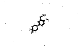 COc1ccc(N2CCC(F)(F)CC2)cc1CO